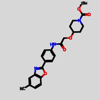 CC(C)(C)OC(=O)N1CCC(OCC(=O)Nc2ccc(-c3nc4cc(C#N)ccc4o3)cc2)CC1